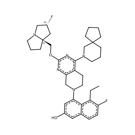 CCc1c(F)ccc2cc(O)cc(N3CCc4c(nc(OC[C@@]56CCCN5C[C@H](F)C6)nc4N4CCCC5(CCCC5)C4)C3)c12